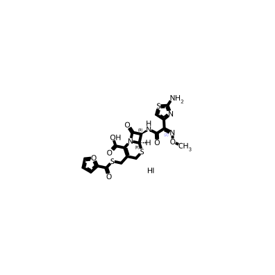 CO/N=C(\C(=O)N[C@@H]1C(=O)N2C(C(=O)O)=C(CSC(=O)c3ccco3)CS[C@H]12)c1csc(N)n1.I